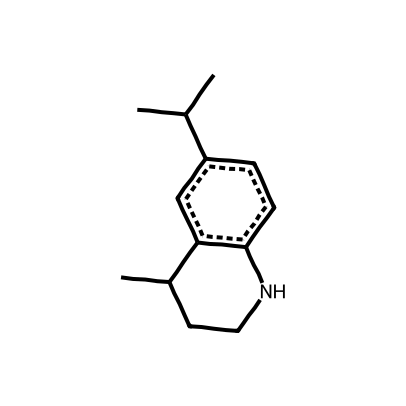 CC(C)c1ccc2c(c1)C(C)CCN2